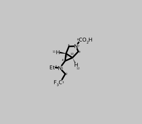 CCN(CC(F)(F)F)C1[C@@H]2CN(C(=O)O)C[C@@H]12